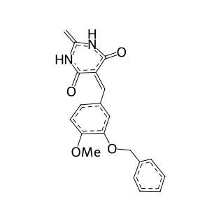 C=c1[nH]c(=O)c(=Cc2ccc(OC)c(OCc3ccccc3)c2)c(=O)[nH]1